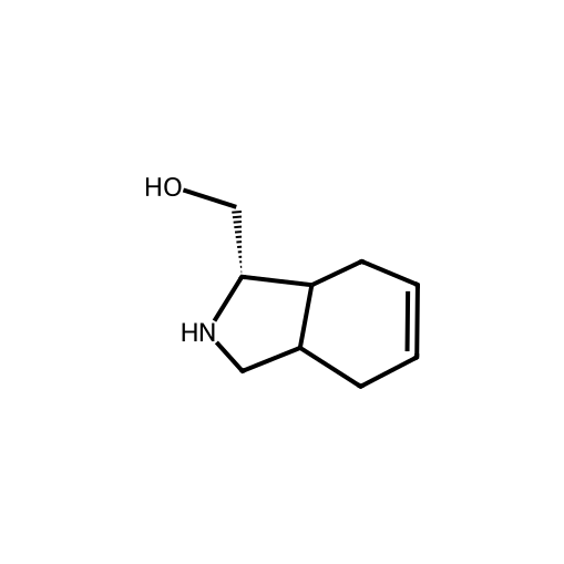 OC[C@H]1NCC2CC=CCC21